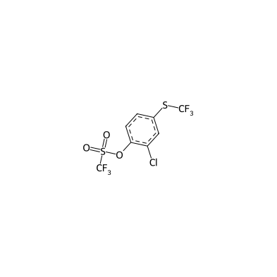 O=S(=O)(Oc1ccc(SC(F)(F)F)cc1Cl)C(F)(F)F